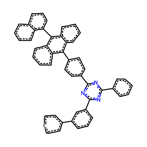 c1ccc(-c2cccc(-c3nc(-c4ccccc4)nc(-c4ccc(-c5c6ccccc6c(-c6cccc7ccccc67)c6ccccc56)cc4)n3)c2)cc1